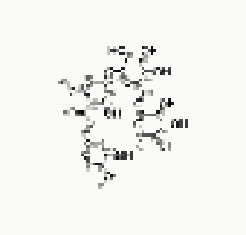 COc1ccc(/C=C/C(=O)c2c(O)cc(OC3OC(COC4OC(C)C(O)C(O)C4O)C(O)C(O)C3O)cc2OC)cc1O